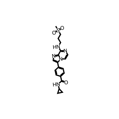 CS(=O)(=O)CCCNc1nccn2c(-c3ccc(C(=O)NC4CC4)cc3)cnc12